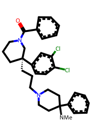 CNC1(c2ccccc2)CCN(CCC[C@]2(c3ccc(Cl)c(Cl)c3)CCCN(C(=O)c3ccccc3)C2)CC1